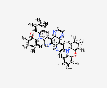 [2H]c1c([2H])c([2H])c2c(c1[2H])Oc1c([2H])c([2H])c([2H])c([2H])c1N2c1cnc2c(c1)c1nccnc1c1cc(N3c4c([2H])c([2H])c([2H])c([2H])c4Oc4c([2H])c([2H])c([2H])c([2H])c43)cnc12